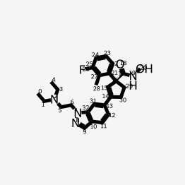 CCN(CC)CCn1ncc2ccc(C3=C[C@](C(=O)NO)(c4cccc(F)c4C)CC3)cc21